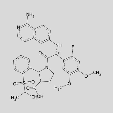 COc1cc(F)c([C@@H](Nc2ccc3c(N)nccc3c2)C(=O)N2CCC(C(=O)O)C2c2ccccc2S(=O)(=O)C(C)C)cc1OC